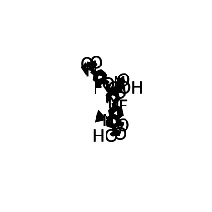 O=NP(=O)(O)OC1(COc2ccc(N3CCOC3=O)cc2F)CCN(c2cc3c(cc2F)c(=O)c(C(=O)O)cn3C2CC2)CC1